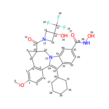 COc1ccc2c(c1)C1CC1(C(=O)N1CC(O)(C(F)(F)F)C1)Cn1c-2c(C2CCCCC2)c2ccc(C(=O)NO)cc21